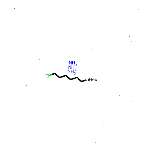 CCCCCCCCCCCCCl.N.N.N